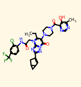 CCc1c(N2CCN(C(=O)c3ncnc(C)c3O)CC2)c(=O)n2nc(C3=CC4CC4C3)nc2n1CC(=O)Nc1ccc(C(F)(F)F)cc1Cl